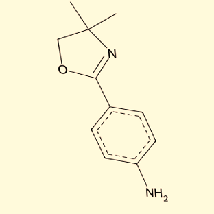 CC1(C)COC(c2ccc(N)cc2)=N1